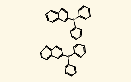 c1ccc(P(c2ccccc2)c2ccc3ccccc3c2)cc1.c1ccc(P(c2ccccc2)c2ccc3ccccc3c2)cc1